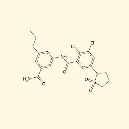 CCCc1cc(NC(=O)c2cc(N3CCCS3(=O)=O)cc(Cl)c2Cl)cc(C(N)=O)c1